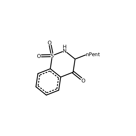 CCCCCC1NS(=O)(=O)c2ccccc2C1=O